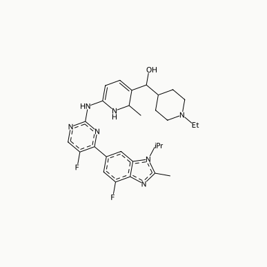 CCN1CCC(C(O)C2=CC=C(Nc3ncc(F)c(-c4cc(F)c5nc(C)n(C(C)C)c5c4)n3)NC2C)CC1